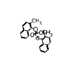 Cc1ccc2ccccc2c1OP(=O)(O)Oc1c(C)ccc2ccccc12